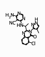 Cc1c[nH]nc1-n1c(C(C)Nc2ncnc(N)c2C#N)nc2cccc(Cl)c2c1=O